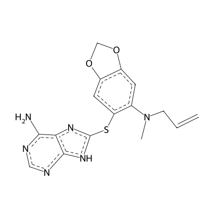 C=CCN(C)c1cc2c(cc1Sc1nc3c(N)ncnc3[nH]1)OCO2